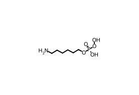 NCCCCCCOP(=O)(O)OO